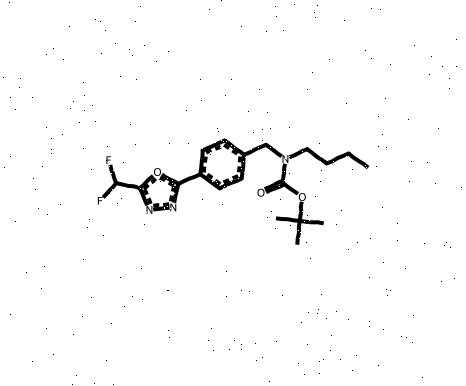 CCCCN(Cc1ccc(-c2nnc(C(F)F)o2)cc1)C(=O)OC(C)(C)C